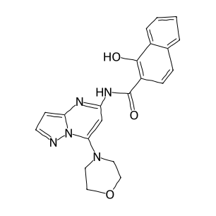 O=C(Nc1cc(N2CCOCC2)n2nccc2n1)c1ccc2ccccc2c1O